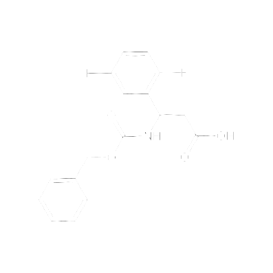 O=C(O)CC(NC(=O)OCc1ccccc1)c1cc(I)ccc1F